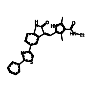 CCNC(=O)c1c(C)[nH]c(/C=C2\C(=O)Nc3ccc(-c4csc(-c5ccccc5)n4)cc32)c1C